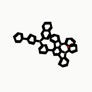 c1ccc(-c2ccc(N(c3cccc(-c4cc5c6ccccc6n(-c6ccccc6)c5c5c4c4ccccc4n5-c4ccccc4)c3)c3ccc4ccccc4c3)cc2)cc1